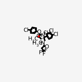 C=CC[C@@](CN(C)C(=O)CC(F)(F)F)(c1ccc(Cl)c(Cl)c1)N(C)C(=O)Oc1ccc(Cl)cc1